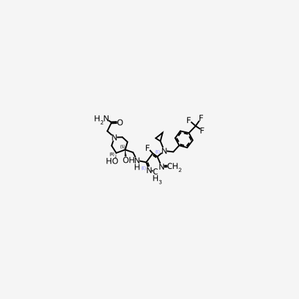 C=N/C(=C(F)\C(=N/C)NC[C@@]1(O)CCN(CC(N)=O)C[C@H]1O)N(Cc1ccc(C(F)(F)F)cc1)C1CC1